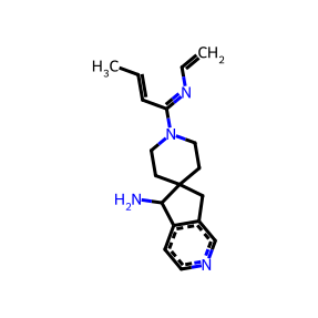 C=C/N=C(\C=C\C)N1CCC2(CC1)Cc1cnccc1C2N